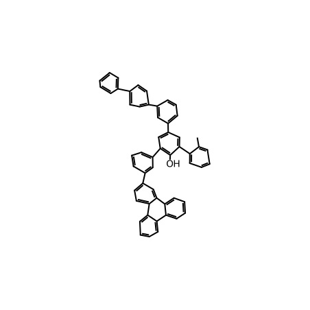 Cc1ccccc1-c1cc(-c2cccc(-c3ccc(-c4ccccc4)cc3)c2)cc(-c2cccc(-c3ccc4c5ccccc5c5ccccc5c4c3)c2)c1O